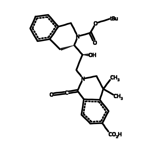 CC(C)(C)OC(=O)N1Cc2ccccc2C[C@H]1[C@H](O)CN1CC(C)(C)c2cc(C(=O)O)ccc2C1=C=O